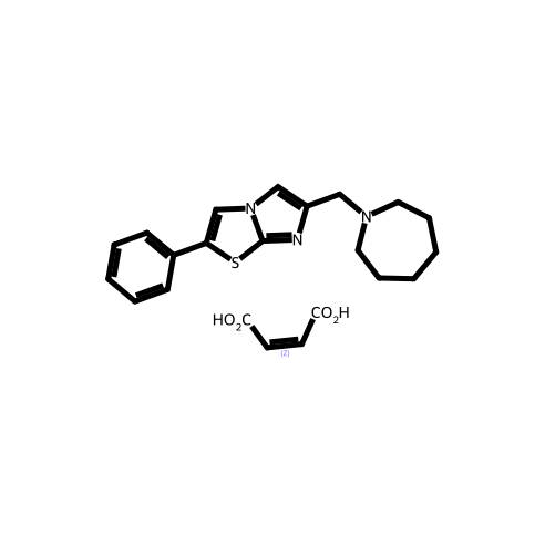 O=C(O)/C=C\C(=O)O.c1ccc(-c2cn3cc(CN4CCCCCC4)nc3s2)cc1